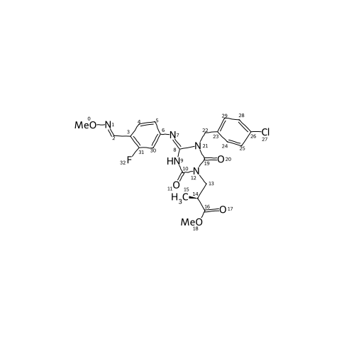 CON=Cc1ccc(N=c2[nH]c(=O)n(C[C@H](C)C(=O)OC)c(=O)n2Cc2ccc(Cl)cc2)cc1F